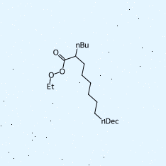 CCCCCCCCCCCCCCCCC(CCCC)C(=O)OOCC